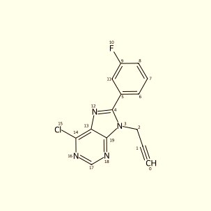 C#CCn1c(-c2cccc(F)c2)nc2c(Cl)ncnc21